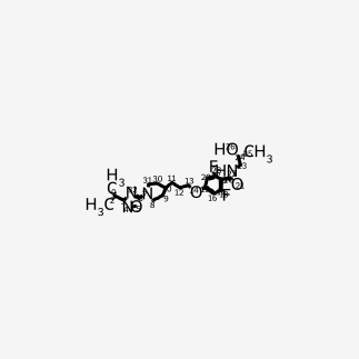 CC(C)c1noc(N2CCC(CCCOc3cc(F)c(C(=O)NC[C@@H](C)O)c(F)c3)CC2)n1